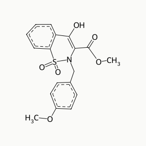 COC(=O)C1=C(O)c2ccccc2S(=O)(=O)N1Cc1ccc(OC)cc1